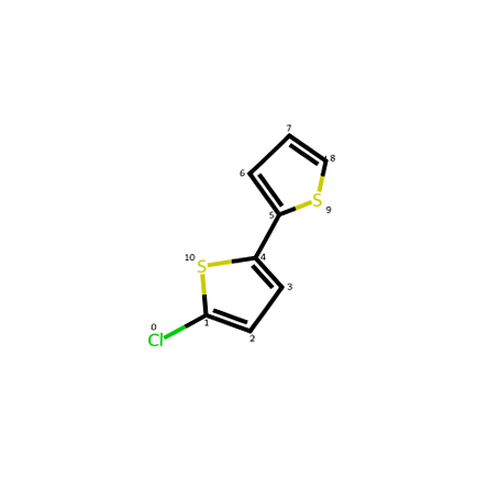 Clc1ccc(-c2cc[c]s2)s1